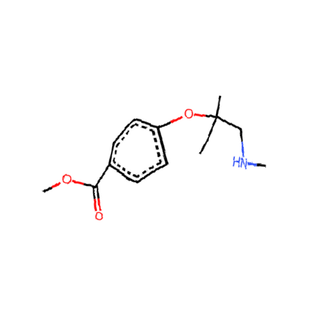 CNCC(C)(C)Oc1ccc(C(=O)OC)cc1